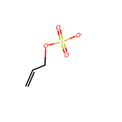 C=CCOS([O])(=O)=O